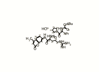 Cc1cc(=O)oc2cc(NC(=O)[C@H](CCCNC(=N)N)NC(=O)[C@@H]3CCCN3C(=O)[C@@H](NC(=O)OC(C)(C)C)C(C)C)ccc12.Cl